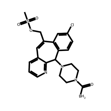 BC(=O)N1CCN(C2c3ccc(Cl)cc3C(COS(C)(=O)=O)=Cc3cccnc32)CC1